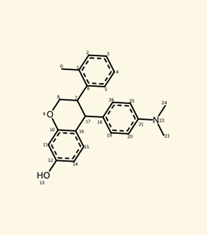 Cc1ccccc1C1COc2cc(O)ccc2C1c1ccc(N(C)C)cc1